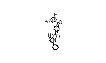 CC(C)N1CCN[C@@H](C(=O)N2CCN(C(=O)Nc3nc(-c4ccccc4)cs3)CC2)C1